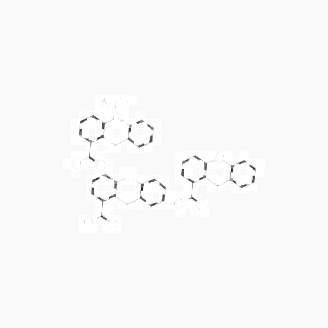 O=C([O-])c1cccc2c1Cc1ccccc1O2.O=C([O-])c1cccc2c1Cc1ccccc1O2.O=C([O-])c1cccc2c1Cc1ccccc1O2.[Au+3]